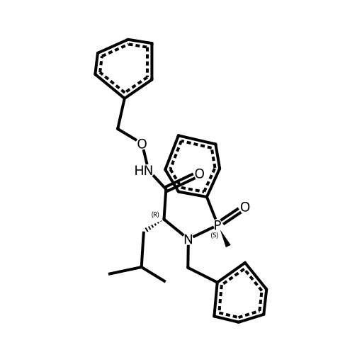 CC(C)C[C@H](C(=O)NOCc1ccccc1)N(Cc1ccccc1)[P@@](C)(=O)c1ccccc1